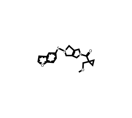 COCC1(C(=O)N2CC3=C(CN(Sc4ccc5occc5c4)C3)C2)CC1